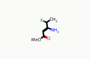 COC(=O)/C=C(\N)C(C)F